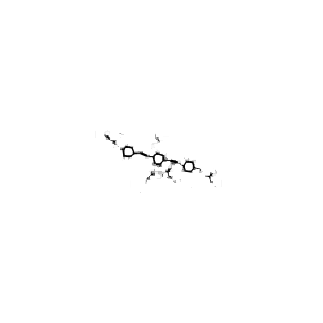 C=CC(=O)OCc1ccc(C#Cc2cc(OCC)c(C#Cc3ccc(OC(=O)C=C)cc3)c(OC(=O)C=C)c2OC(=O)C=C)cc1